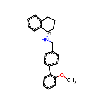 COc1ccccc1-c1ccc(CN[C@H]2CCCc3ccccc32)cc1